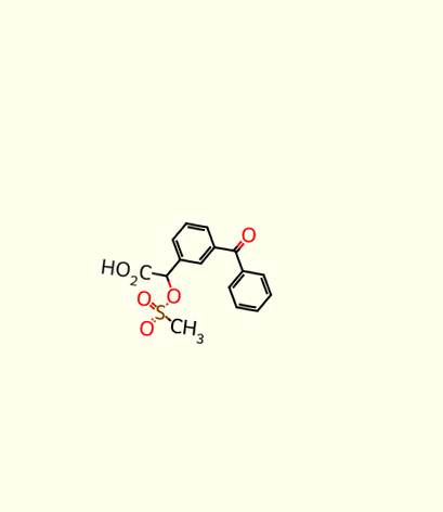 CS(=O)(=O)OC(C(=O)O)c1cccc(C(=O)c2ccccc2)c1